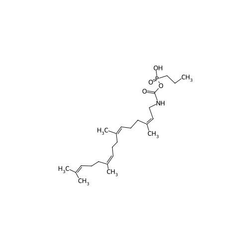 CCCP(=O)(O)OC(=O)NCC=C(C)CCC=C(C)CCC=C(C)CCC=C(C)C